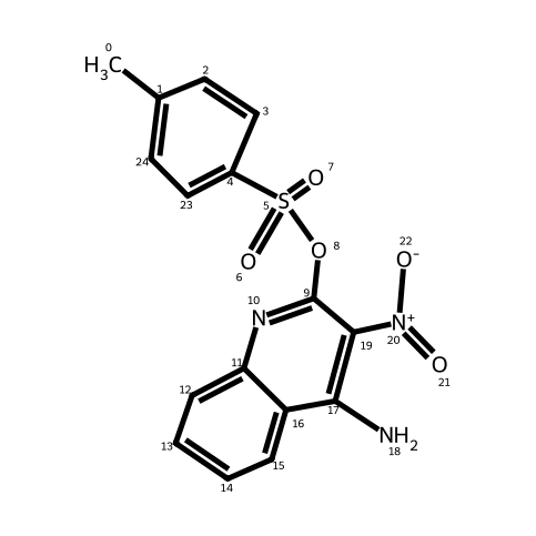 Cc1ccc(S(=O)(=O)Oc2nc3ccccc3c(N)c2[N+](=O)[O-])cc1